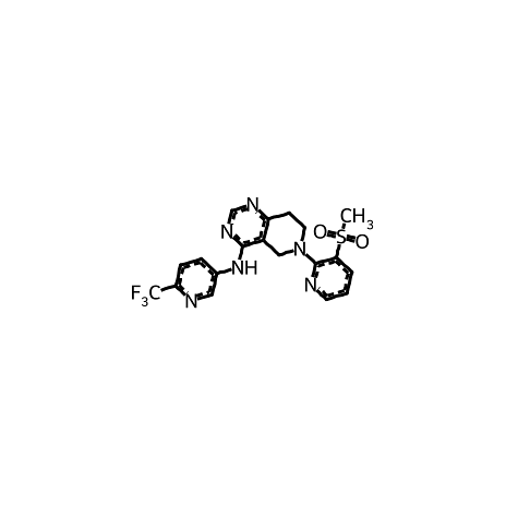 CS(=O)(=O)c1cccnc1N1CCc2ncnc(Nc3ccc(C(F)(F)F)nc3)c2C1